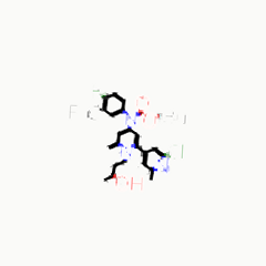 C=C1C=C(N(C(=O)OC(C)(C)C)c2ccc(F)c(C(F)(F)F)c2)C=C(c2cc(C)nc(Cl)c2)N1CCC(C)O